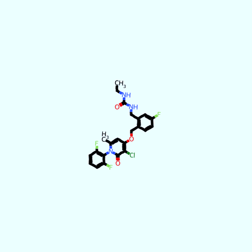 CCNC(=O)NCc1cc(F)ccc1COc1cc(C)n(-c2c(F)cccc2F)c(=O)c1Cl